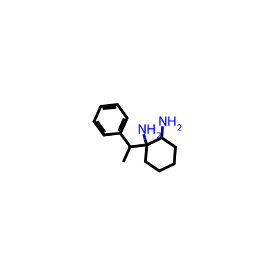 CC(c1ccccc1)C1(N)CCCCC1N